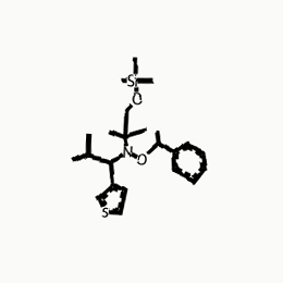 CC(ON(C(c1ccsc1)C(C)C)C(C)(C)CO[Si](C)(C)C)c1ccccc1